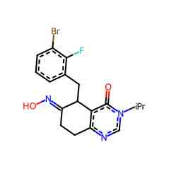 CC(C)n1cnc2c(c1=O)C(Cc1cccc(Br)c1F)C(=NO)CC2